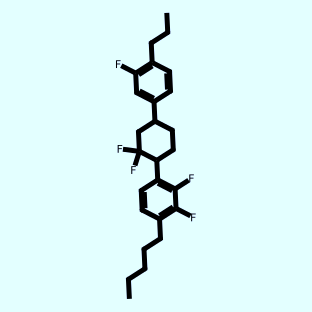 CCCCCc1ccc(C2CCC(c3ccc(CCC)c(F)c3)CC2(F)F)c(F)c1F